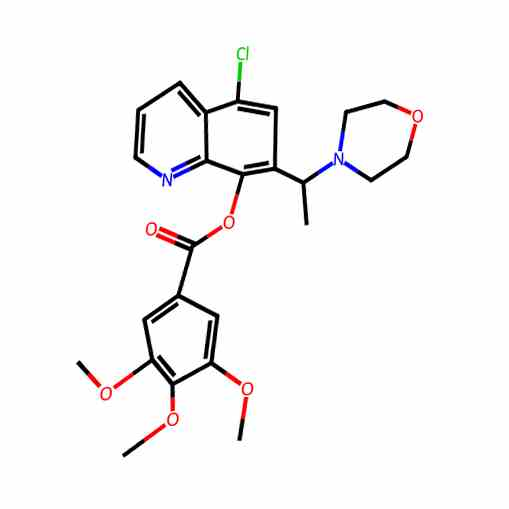 COc1cc(C(=O)Oc2c(C(C)N3CCOCC3)cc(Cl)c3cccnc23)cc(OC)c1OC